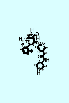 CC12CNC(=O)C1C(Nc1ccc(CC(=O)NC3CCNCC3)cn1)=CC(c1c(F)cccc1F)=N2